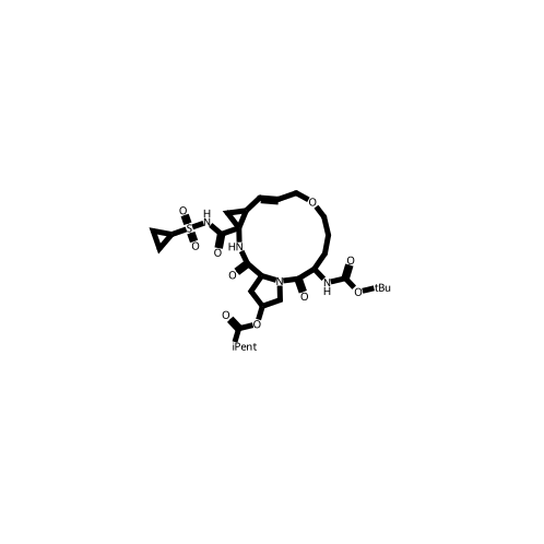 CCCC(C)C(=O)OC1CC2C(=O)NC3(C(=O)NS(=O)(=O)C4CC4)CC3/C=C/COCCCC(NC(=O)OC(C)(C)C)C(=O)N2C1